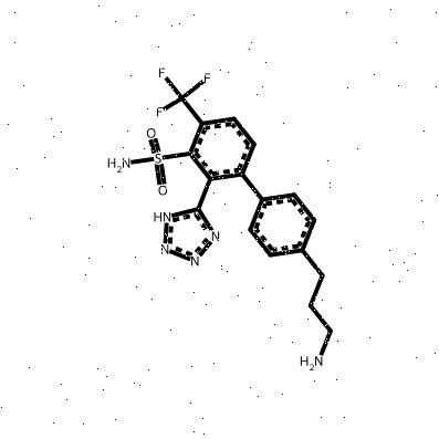 NCCCc1ccc(-c2ccc(C(F)(F)F)c(S(N)(=O)=O)c2-c2nnn[nH]2)cc1